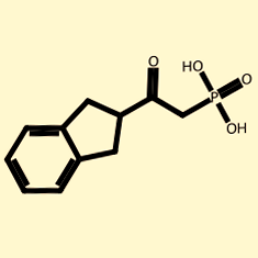 O=C(CP(=O)(O)O)C1Cc2ccccc2C1